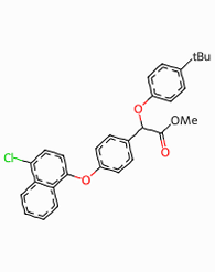 COC(=O)C(Oc1ccc(C(C)(C)C)cc1)c1ccc(Oc2ccc(Cl)c3ccccc23)cc1